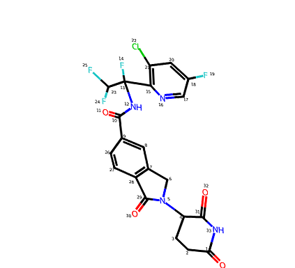 O=C1CCC(N2Cc3cc(C(=O)NC(F)(c4ncc(F)cc4Cl)C(F)F)ccc3C2=O)C(=O)N1